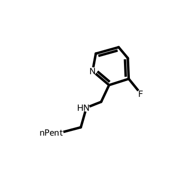 CCCCCCNCc1ncccc1F